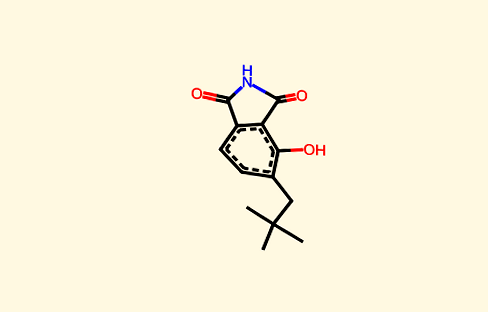 CC(C)(C)Cc1ccc2c(c1O)C(=O)NC2=O